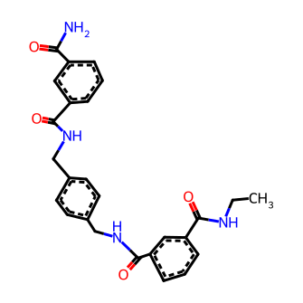 CCNC(=O)c1cccc(C(=O)NCc2ccc(CNC(=O)c3cccc(C(N)=O)c3)cc2)c1